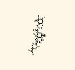 Cc1cc(C)c(CNC(=O)c2cc(Br)c3c(c2C)OC(C2CCC(N(C)C)CC2)OC3)c(=O)[nH]1